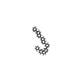 c1ccc(-c2ccc3ccc4ccc(-c5cccc(-c6ccc7cc(-c8ccc9nc(-c%10ccccn%10)ccc9c8)ccc7c6)c5)nc4c3n2)cc1